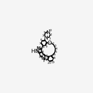 CN1CCN(c2ccc3cc2OCCCCCc2cccc(F)c2-c2cc4c-3n[nH]c4cn2)CC1